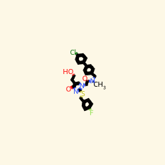 CN(Cc1ccc(-c2ccc(Cl)cc2)cc1)C(=O)Cn1cc(CCO)c(=O)nc1SCc1ccc(F)cc1